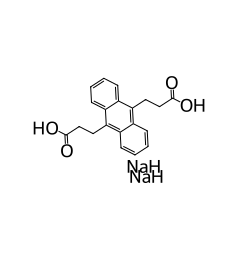 O=C(O)CCc1c2ccccc2c(CCC(=O)O)c2ccccc12.[NaH].[NaH]